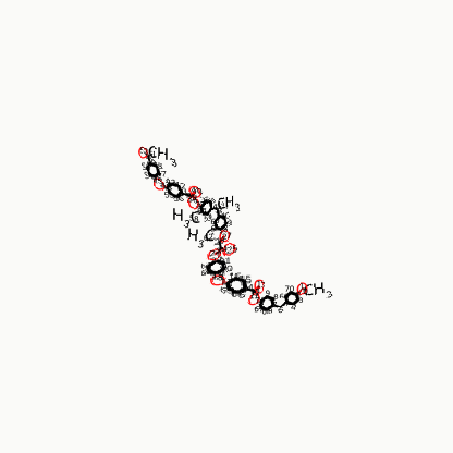 COc1ccc(Cc2ccc(OC(=O)c3ccc(Oc4ccc(OC(=O)COc5ccc(C(C)c6ccc(OC(=O)c7ccc(Oc8ccc(C(C)=O)cc8)cc7)c(C)c6)cc5C)cc4)cc3)cc2)cc1